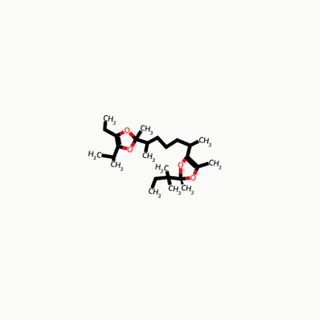 CCC1=C(C(C)C)OC(C)(C(C)CCCC(C)C2=C(C)O[C@](C)(C(C)(C)CC)O2)O1